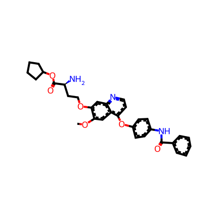 COc1cc2c(Oc3ccc(NC(=O)c4ccccc4)cc3)ccnc2cc1OCC[C@H](N)C(=O)OC1CCCC1